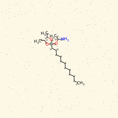 CCCCCCCCCCCC[Si](OCC)(OCC)OC(C)N